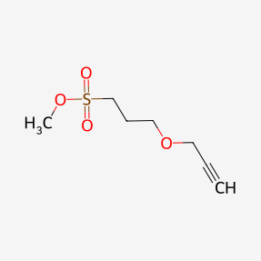 C#CCOCCCS(=O)(=O)OC